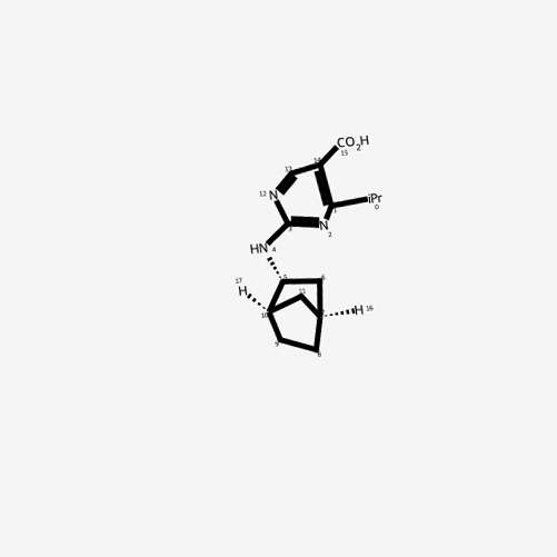 CC(C)c1nc(N[C@@H]2C[C@H]3CC[C@@H]2C3)ncc1C(=O)O